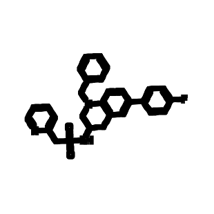 O=S(=O)(Cc1ccccn1)NC1Cc2cc(-c3ccc(F)cc3)ccc2N(Cc2ccccc2)C1